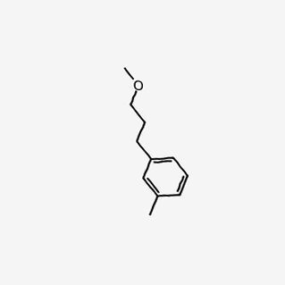 COCCCc1cccc(C)c1